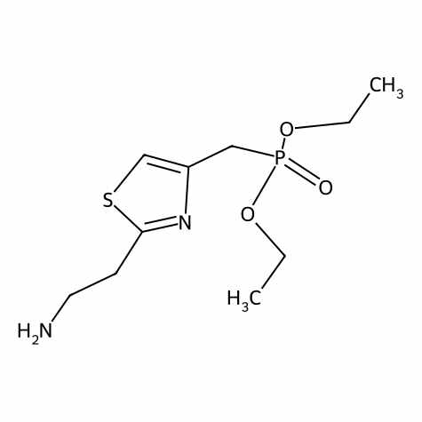 CCOP(=O)(Cc1csc(CCN)n1)OCC